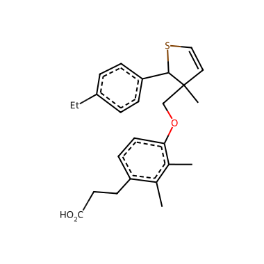 CCc1ccc(C2SC=CC2(C)COc2ccc(CCC(=O)O)c(C)c2C)cc1